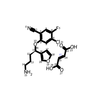 N#Cc1cc(F)c(Cl)cc1O[C@H](CCCN)c1ccoc1.O=C(O)/C=C/C(=O)O